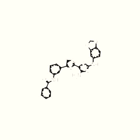 Nc1nc(Nc2ccc3c(c2)OCO3)sc1-c1nc(-c2cccc(NC(=O)c3ccccc3)c2)cs1